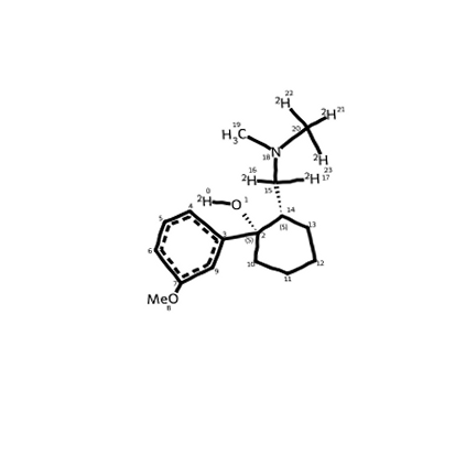 [2H]O[C@@]1(c2cccc(OC)c2)CCCC[C@H]1C([2H])([2H])N(C)C([2H])([2H])[2H]